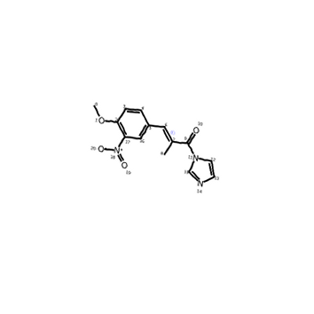 COc1ccc(/C=C(\C)C(=O)n2ccnc2)cc1[N+](=O)[O-]